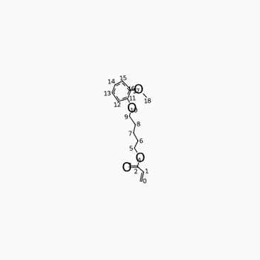 C=CC(=O)OCCCCCOc1ccccc1OC